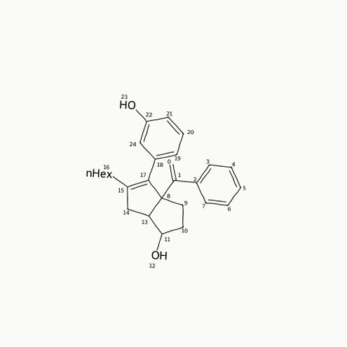 C=C(c1ccccc1)C12CCC(O)C1CC(CCCCCC)=C2c1cccc(O)c1